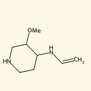 C=CNC1CCNCC1OC